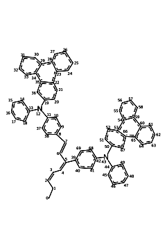 CC\C=C/C=C(\C=C\c1ccc(N(c2ccccc2)c2ccc3c4ccccc4c4ccccc4c3c2)cc1)c1ccc(N(c2ccccc2)c2ccc3c4ccccc4c4ccccc4c3c2)cc1